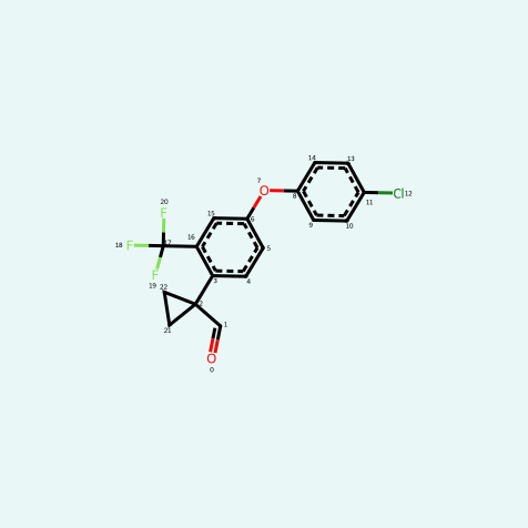 O=CC1(c2ccc(Oc3ccc(Cl)cc3)cc2C(F)(F)F)CC1